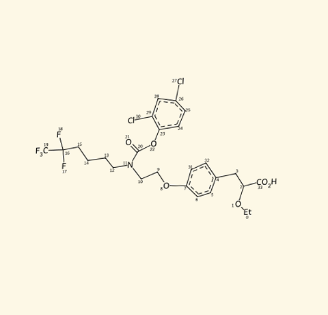 CCOC(Cc1ccc(OCCN(CCCCC(F)(F)C(F)(F)F)C(=O)Oc2ccc(Cl)cc2Cl)cc1)C(=O)O